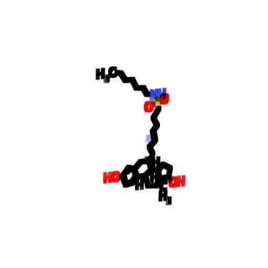 CCCCCCCNS(=O)(=O)CCC/C=C/CC[C@@H]1Cc2cc(O)ccc2[C@H]2CC[C@]3(C)[C@@H](O)CC[C@H]3[C@H]12